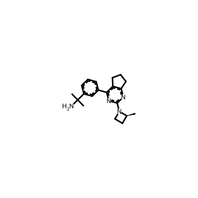 C[C@H]1CCN1c1nc2c(c(-c3cccc(C(C)(C)N)c3)n1)CCC2